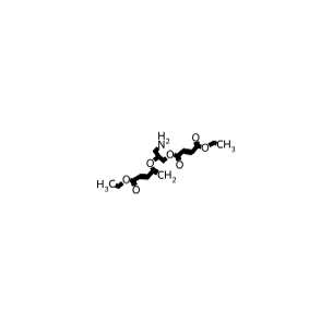 C=C(/C=C/C(=O)OCC)OC(CN)COC(=O)/C=C/C(=O)OCC